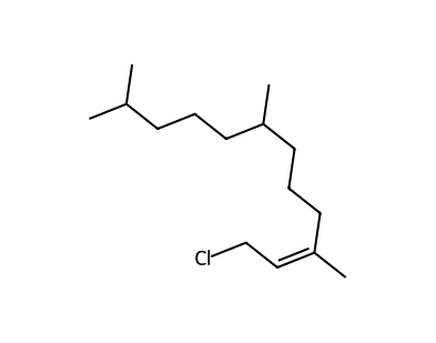 CC(=CCCl)CCCC(C)CCCC(C)C